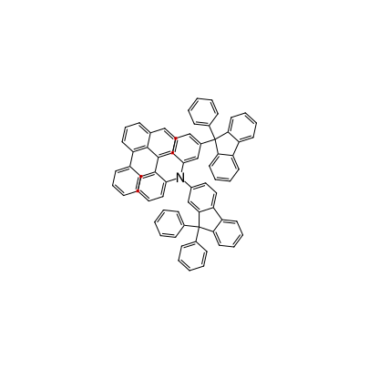 c1ccc(-c2cccc3cccc(-c4ccccc4N(c4cccc(C5(c6ccccc6)c6ccccc6-c6ccccc65)c4)c4ccc5c(c4)C(c4ccccc4)(c4ccccc4)c4ccccc4-5)c23)cc1